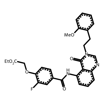 CCOC(=O)COc1ccc(C(=O)Nc2cccc3ncn(CCc4ccccc4OC)c(=O)c23)cc1F